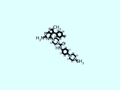 Cc1sc2nc(N)nc(N3CCN(C(=O)Nc4ccc(N5CCN(C)CC5)cc4)CC3)c2c1-c1ccc(F)cc1